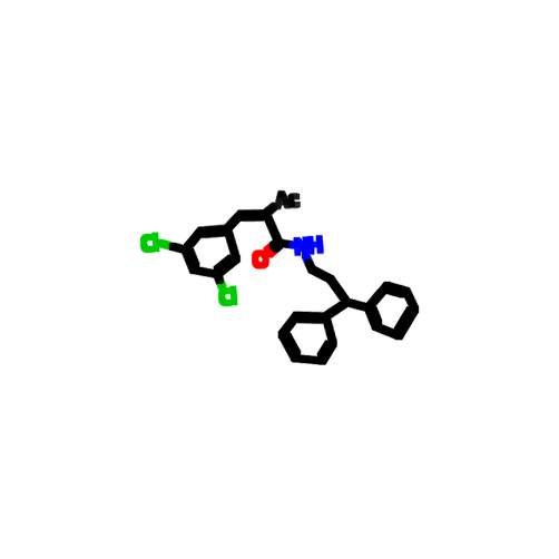 CC(=O)C(=Cc1cc(Cl)cc(Cl)c1)C(=O)NCCC(c1ccccc1)c1ccccc1